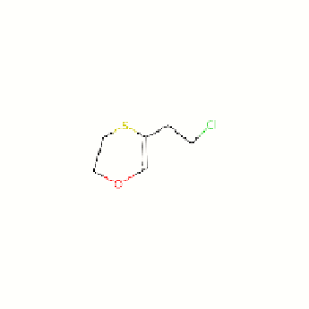 ClCCC1=COCCS1